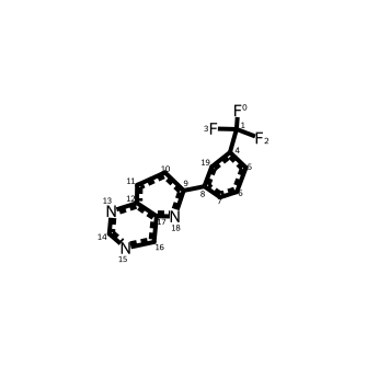 FC(F)(F)c1cccc(-c2ccc3ncncc3n2)c1